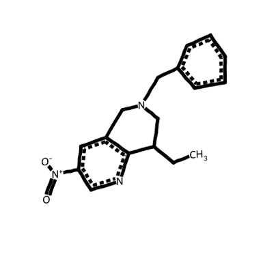 CCC1CN(Cc2ccccc2)Cc2cc([N+](=O)[O-])cnc21